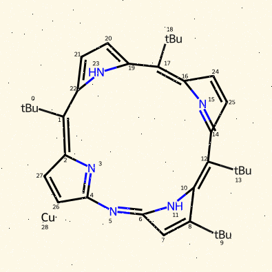 CC(C)(C)c1c2nc(nc3cc(C(C)(C)C)c([nH]3)c(C(C)(C)C)c3nc(c(C(C)(C)C)c4ccc1[nH]4)C=C3)C=C2.[Cu]